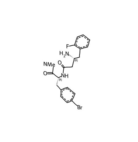 CNC(=O)[C@@H](Cc1ccc(Br)cc1)NC(=O)C[C@H](N)Cc1ccccc1F